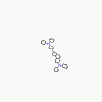 c1ccc(N(c2ccccc2)c2ccc(-c3ccc4c(ccc5cc(N(c6ccccc6)c6ccccc6)ccc54)c3)cc2)cc1